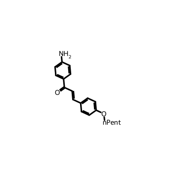 CCCCCOc1ccc(C=CC(=O)c2ccc(N)cc2)cc1